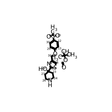 CC(C)(C)OC=O.CS(=O)(=O)c1ccc(OCc2csc(C3(O)CCNCC3)n2)cc1